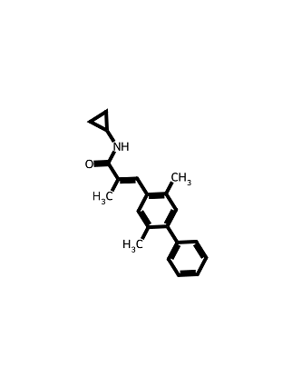 C/C(=C\c1cc(C)c(-c2ccccc2)cc1C)C(=O)NC1CC1